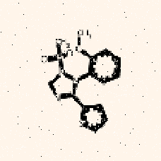 COc1ccccc1N1C(c2cccs2)=NCN1S(C)(=O)=O